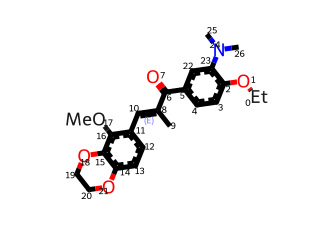 CCOc1ccc(C(=O)/C(C)=C/c2ccc3c(c2OC)OCCO3)cc1N(C)C